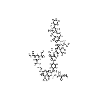 C=CC(=O)N1CN(C(=O)C=C)CN(C(=O)CCSCC(=O)N[C@H](C(=O)N[C@@H](CCCNC(N)=O)C(=O)Nc2ccc(COC(=O)N(C)[C@H](C(=O)N[C@H](C(=O)N(C)[C@@H]([C@@H](C)CC)[C@@H](CC(=O)N3CCC[C@H]3[C@H](OC)[C@@H](C)C(=O)N[C@H](C)[C@@H](O)c3ccccc3)OC)C(C)C)C(C)C)cc2)C(C)C)C1